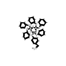 C=Cc1ccc(OP2(Oc3ccccc3)=NP(Oc3ccccc3)(Oc3ccccc3)=NP(Oc3ccccc3)(Oc3ccccc3)=N2)cc1